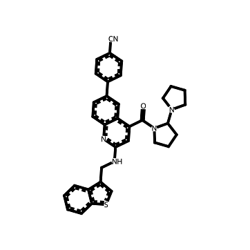 N#Cc1ccc(-c2ccc3nc(NCc4csc5ccccc45)cc(C(=O)N4CCCC4N4CCCC4)c3c2)cc1